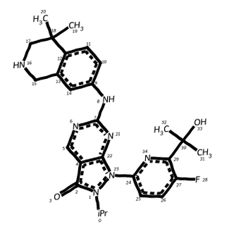 CC(C)n1c(=O)c2cnc(Nc3ccc4c(c3)CNCC4(C)C)nc2n1-c1ccc(F)c(C(C)(C)O)n1